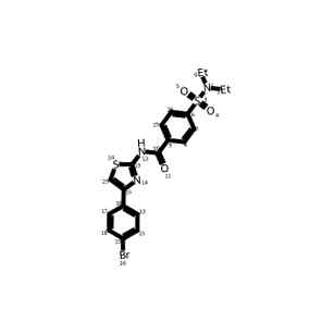 CCN(CC)S(=O)(=O)c1ccc(C(=O)Nc2nc(-c3ccc(Br)cc3)cs2)cc1